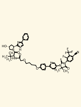 CC(C)(C)[C@H](NC(=O)COCCCCOc1ccc(-c2ccc(N3C(=S)N(c4ccc(C#N)c(C(F)(F)F)c4F)C(=O)C3(C)C)cn2)cc1)C(=O)N1C[C@H](O)C[C@H]1c1nc(-c2ccccc2)c[nH]1